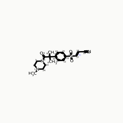 CN1CCN(C(=O)C(C)(C)c2ccc(S(=O)(=O)/C=C/C#N)cc2)CC1